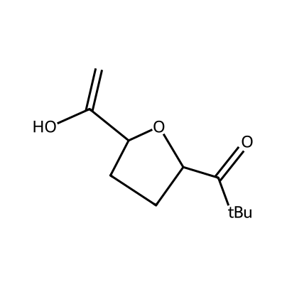 C=C(O)C1CCC(C(=O)C(C)(C)C)O1